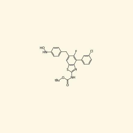 CC(C)(C)OC(=O)Nc1nc2c(-c3cccc(Cl)c3)c(F)c(Cc3ccc(NO)cc3)cc2s1